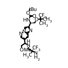 COCC(NC[C@](C)(N)C(F)(F)F)c1cnn2cc([C@H](COC(C)(C)C(F)(F)F)NC(=O)OC(C)(C)C)nc2c1